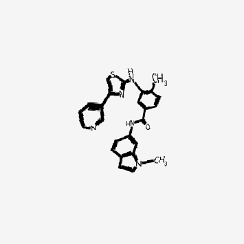 Cc1ccc(C(=O)Nc2ccc3ccn(C)c3c2)cc1Nc1nc(-c2cccnc2)cs1